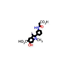 Cn1c(-c2cccc(NC(=O)CC(=O)O)c2)c(I)c2cc(C(=O)O)c(O)cc21